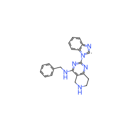 [c]1nc2ccccc2n1-c1nc2c(c(NCc3ccccc3)n1)CNCC2